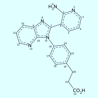 Nc1ncccc1-c1nc2cccnc2n1-c1ccc(CCC(=O)O)cc1